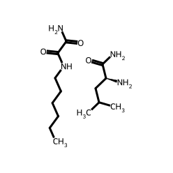 CC(C)C[C@H](N)C(N)=O.CCCCCCNC(=O)C(N)=O